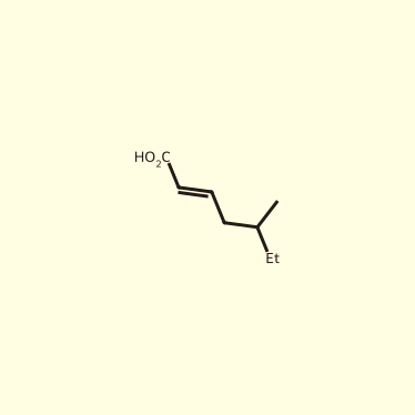 CCC(C)CC=CC(=O)O